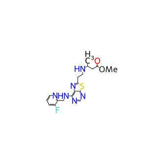 COC(=O)CC(C)NCCc1nc2c(NCc3ncccc3F)ncnc2s1